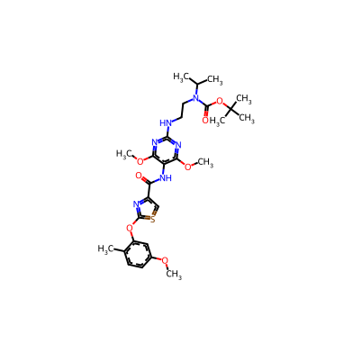 COc1ccc(C)c(Oc2nc(C(=O)Nc3c(OC)nc(NCCN(C(=O)OC(C)(C)C)C(C)C)nc3OC)cs2)c1